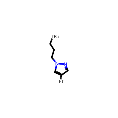 CCc1cnn(CCCC(C)(C)C)c1